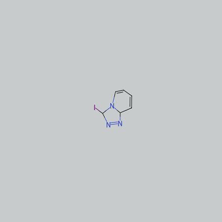 IC1N=NC2C=CC=CN12